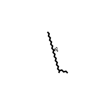 CCCCCCCCCC(CCCCCCCCCC(C)CCCC)N(C)C